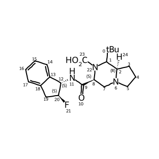 CC(C)(C)C1[C@H]2CCCN2C[C@@H](C(=O)N[C@H]2c3ccccc3C[C@@H]2F)N1C(=O)O